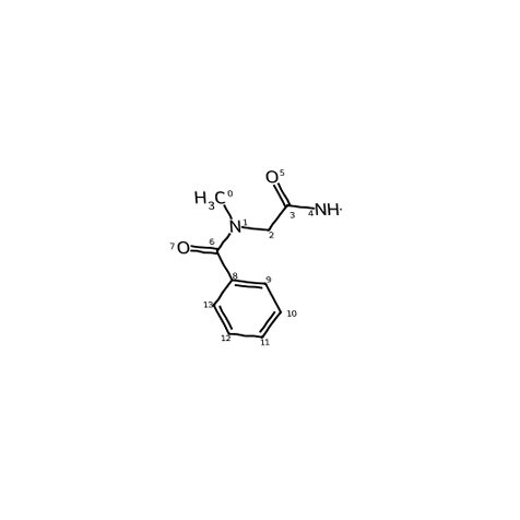 CN(CC([NH])=O)C(=O)c1ccccc1